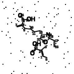 C/C=C(\C)C(=O)O.C=C(CCCC)C(=O)O.C=CC1=NCCO1